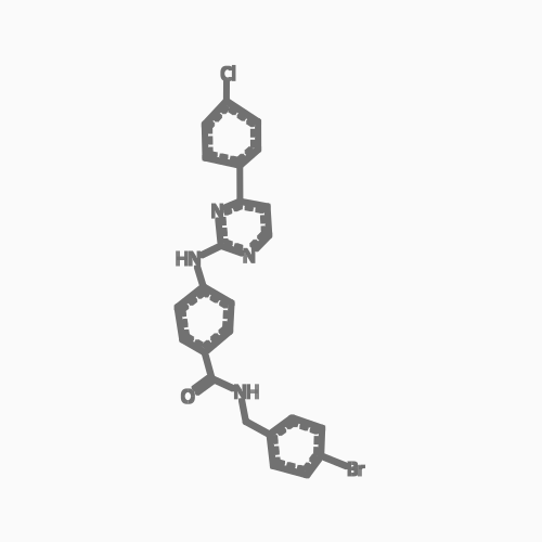 O=C(NCc1ccc(Br)cc1)c1ccc(Nc2nccc(-c3ccc(Cl)cc3)n2)cc1